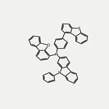 c1ccc(-n2c3ccccc3c3ccc(N(c4ccc(-c5cccc6sc7ccccc7c56)cc4)c4cccc5c4oc4ccccc45)cc32)cc1